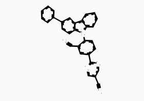 N#Cc1cnc(-c2ccc(-n3c4ccccc4c4cc(-c5ccccc5)ccc43)c(C#N)c2)nc1